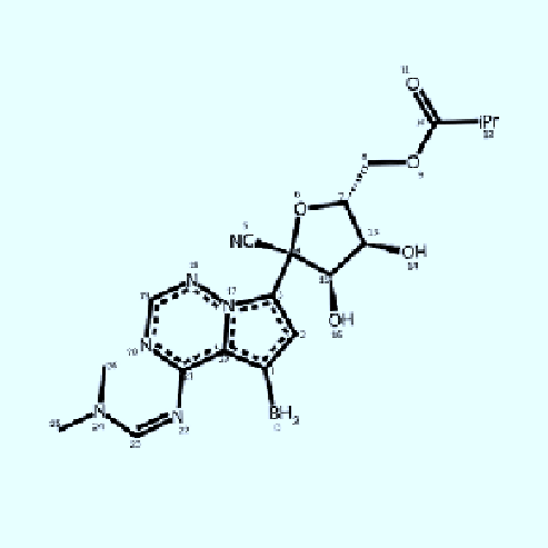 Bc1cc([C@]2(C#N)O[C@H](COC(=O)C(C)C)[C@@H](O)[C@H]2O)n2ncnc(/N=C\N(C)C)c12